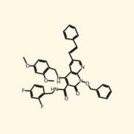 COc1ccc(CNc2c(C(=O)NCc3ccc(F)cc3F)c(=O)n(OCc3ccccc3)c3ncc(C=Cc4ccccc4)cc23)c(OC)c1